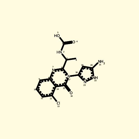 CC(NC(=O)O)c1nc2cccc(Cl)c2c(=O)n1-c1cc(N)[nH]n1